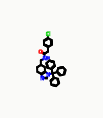 O=C(Cc1ccc(Cl)cc1)NCC1CCc2ncn(C(c3ccccc3)(c3ccccc3)c3ccccc3)c2C1